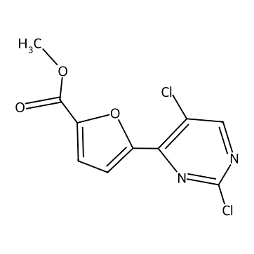 COC(=O)c1ccc(-c2nc(Cl)ncc2Cl)o1